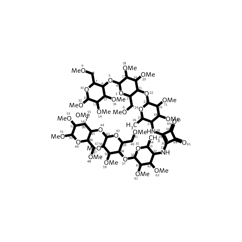 COCC1OC(OC2C(COC)OC(OC)C(OC)C2OC)C(OC)C(OC)C1OC1OC(C)C(Nc2c(NC3C(C)OC(OC4C(COC)OC(OC5C(COC)OC(OC)C(OC)[C@@H]5OC)C(OC)C4OC)C(OC)C3OC)c(=O)c2=O)C(OC)C1OC